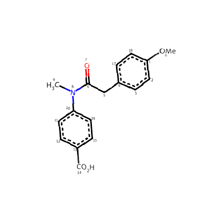 COc1ccc(CC(=O)N(C)c2ccc(C(=O)O)cc2)cc1